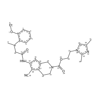 CCOc1ccccc1C(C)CC(=O)Nc1sc2c(c1C#N)CCN(C(=O)OCCn1cc(C)nc1C)C2